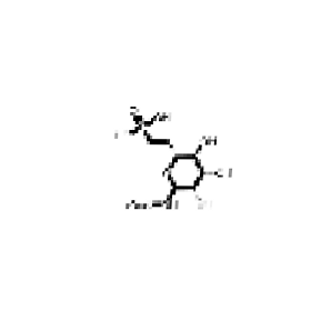 CCCC(C)NC1O[C@H](CCP(=O)(O)O)[C@@H](O)[C@H](O)[C@@H]1O